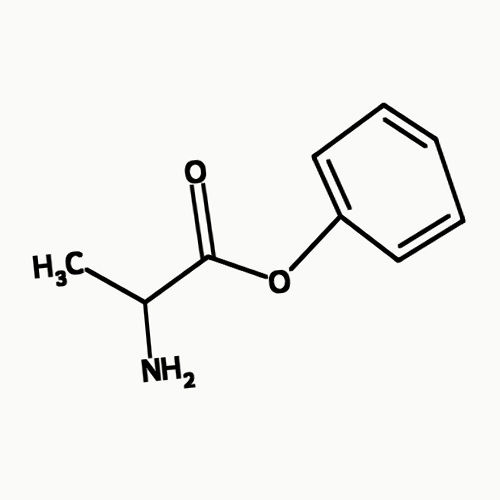 CC(N)C(=O)Oc1ccccc1